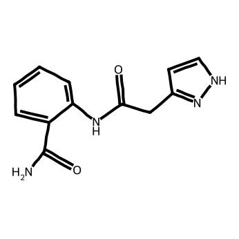 NC(=O)c1ccccc1NC(=O)Cc1cc[nH]n1